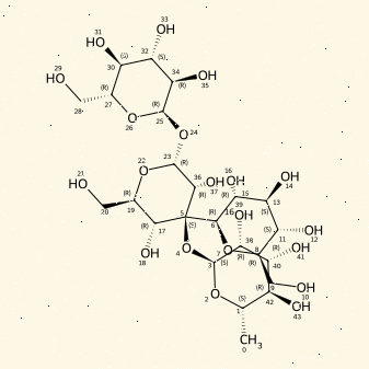 C[C@@H]1O[C@@H](O[C@@]2([C@@H]3O[C@H](CO)[C@@H](O)[C@H](O)[C@H]3O)[C@H](O)[C@@H](CO)O[C@H](O[C@H]3O[C@H](CO)[C@@H](O)[C@H](O)[C@H]3O)[C@@H]2O)[C@H]([16OH])[C@H](O)[C@H]1O